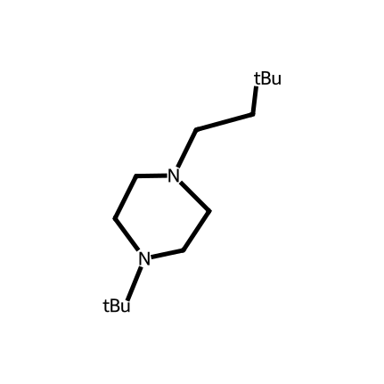 CC(C)(C)CCN1CCN(C(C)(C)C)CC1